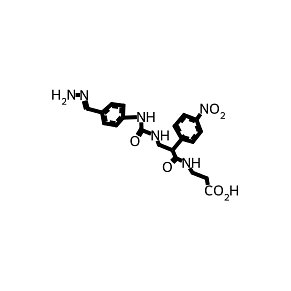 NN=Cc1ccc(NC(=O)NCC(C(=O)NCCC(=O)O)c2ccc([N+](=O)[O-])cc2)cc1